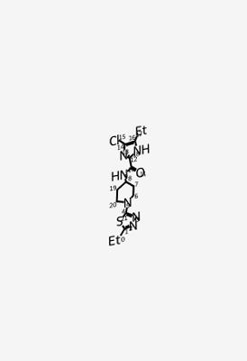 CCc1nnc(N2CCC(NC(=O)c3nc(Cl)c(CC)[nH]3)CC2)s1